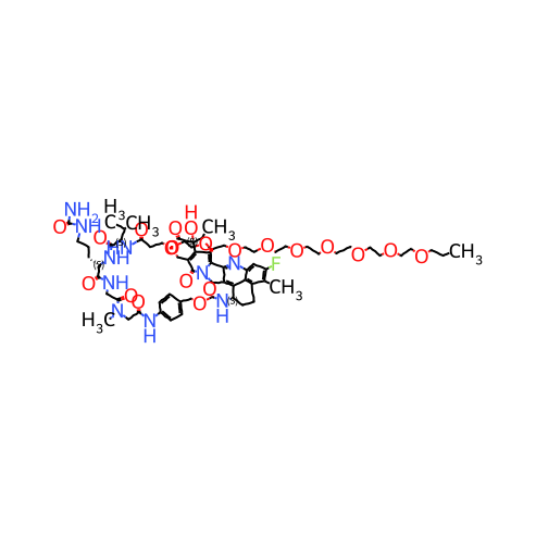 CCCOCCOCCOCCOCCOCCOCCOCCOCCOCCC(=O)N[C@H](C(=O)N[C@@H](CCCNC(N)=O)C(=O)NCC(=O)N(C)CC(=O)Nc1ccc(COC(=O)N[C@H]2CCc3c(C)c(F)cc4nc5c(c2c34)Cn2c-5cc3c(c2=O)COC(=O)[C@]3(O)CC)cc1)C(C)C